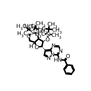 CC(C)(C)[Si](C)(C)O[C@H]1C2O[Si](C(C)(C)C)(C(C)(C)C)OC[C@H]2O[C@H]1c1cnn2c(NC(=O)c3ccccc3)ncnc12